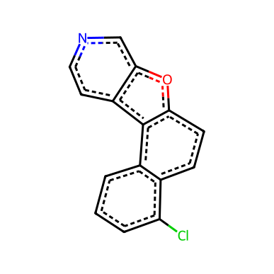 Clc1cccc2c1ccc1oc3cnccc3c12